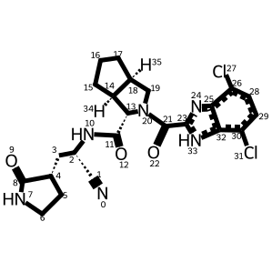 N#C[C@H](C[C@@H]1CCNC1=O)NC(=O)[C@@H]1[C@H]2CCC[C@H]2CN1C(=O)c1nc2c(Cl)ccc(Cl)c2[nH]1